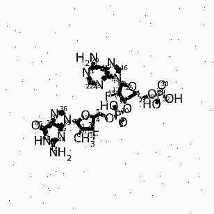 C[C@@H]1[C@H](F)C(COP(=O)(O)O[C@H]2[C@@H](F)[C@H](n3cnc4c(N)ncnc43)O[C@@H]2COP(=O)(O)O)O[C@H]1n1cnc2c(=O)[nH]c(N)nc21